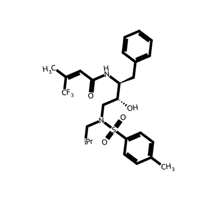 C/C(=C/C(=O)N[C@@H](Cc1ccccc1)[C@H](O)CN(CC(C)C)S(=O)(=O)c1ccc(C)cc1)C(F)(F)F